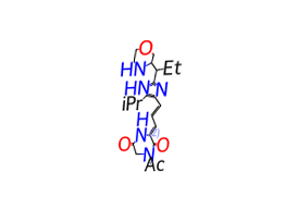 CCC(c1nc(C=C/C=C2\NC(=O)CN(C(C)=O)C2=O)c(C(C)C)[nH]1)C1COCCN1